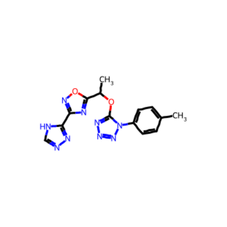 Cc1ccc(-n2nnnc2OC(C)c2nc(-c3nnc[nH]3)no2)cc1